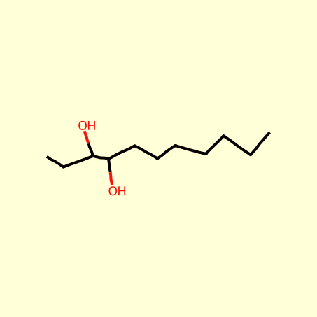 CCCCCCCC(O)C(O)CC